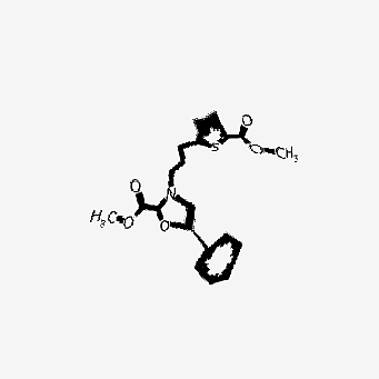 COC(=O)c1ccc(CCCN2C[C@@H](c3ccccc3)OC2C(=O)OC)s1